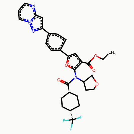 CCOC(=O)c1cc(-c2ccc(-c3cc4ncccn4n3)cc2)oc1N(C(=O)[C@H]1CC[C@H](C(F)(F)F)CC1)C1CCOC1